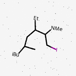 CCC(C)C(C)CC(CC)C(CI)NC